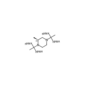 CCCCCCC(C)(CCCCCC)N1CCN(C(C)(CCCCCC)CCCCCC)[C@@H](C)C1